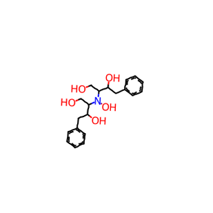 OCC(C(O)Cc1ccccc1)N(O)C(CO)C(O)Cc1ccccc1